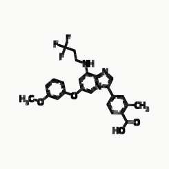 COc1cccc(Oc2cc(NCCC(F)(F)F)c3ncc(-c4ccc(C(=O)O)c(C)c4)n3c2)c1